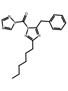 CCCCCCc1nc(Cc2ccccc2)n(C(=O)n2cncn2)n1